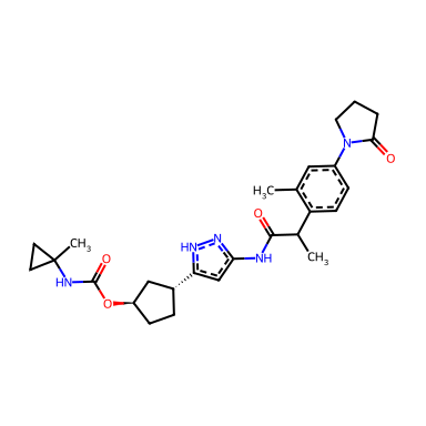 Cc1cc(N2CCCC2=O)ccc1C(C)C(=O)Nc1cc([C@@H]2CC[C@@H](OC(=O)NC3(C)CC3)C2)[nH]n1